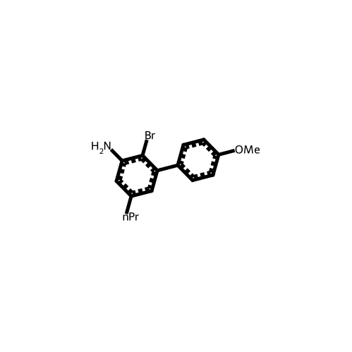 CCCc1cc(N)c(Br)c(-c2ccc(OC)cc2)c1